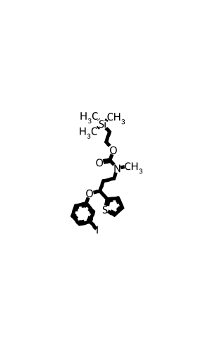 CN(CCC(Oc1cccc(I)c1)c1cccs1)C(=O)OCC[Si](C)(C)C